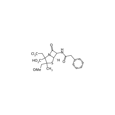 COCC1(C)S[C@@H]2C(NC(=O)Cc3ccccc3)C(=O)N2C1(CC(Cl)(Cl)Cl)C(=O)O